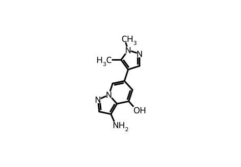 Cc1c(-c2cc(O)c3c(N)cnn3c2)cnn1C